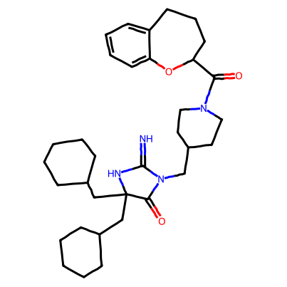 N=C1NC(CC2CCCCC2)(CC2CCCCC2)C(=O)N1CC1CCN(C(=O)C2CCCc3ccccc3O2)CC1